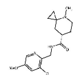 COc1cnc(CNC(=O)[C@H]2CCN(C)C3(CC3)C2)c(Cl)c1